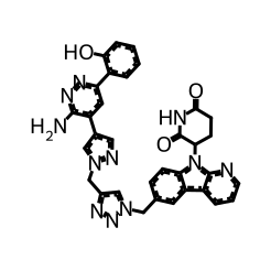 Nc1nnc(-c2ccccc2O)cc1-c1cnn(Cc2cn(Cc3ccc4c(c3)c3cccnc3n4C3CCC(=O)NC3=O)nn2)c1